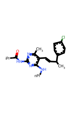 CCCNc1nc(NC(=O)C(C)C)nc(C)c1/C=C/C(C)c1ccc(Cl)cc1